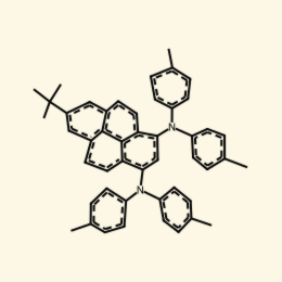 Cc1ccc(N(c2ccc(C)cc2)c2cc(N(c3ccc(C)cc3)c3ccc(C)cc3)c3ccc4cc(C(C)(C)C)cc5ccc2c3c54)cc1